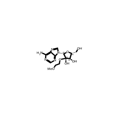 COCCO[C@@]1(O)[C@H](O)[C@@H](CO)O[C@H]1n1cnc2c(N)ncnc21